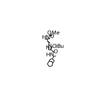 COC(=O)NC(C)(C)/C=C/n1ncc(C(=O)NC(C)C2CC3CCCC(C3)C2)c1OCC(C)C